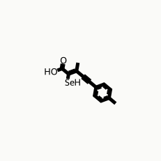 CC(C#Cc1ccc(C)cc1)=C([SeH])C(=O)O